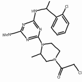 CNc1nc(NC(C)c2ccccc2Cl)nc(N2CCN(C(=O)CCl)CC2C)n1